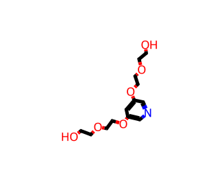 OCCOCCOc1cncc(OCCOCCO)c1